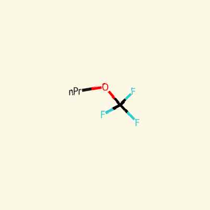 C[CH]COC(F)(F)F